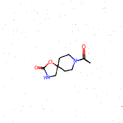 CC(=O)N1CCC2(CC1)CNC(=O)O2